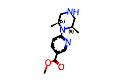 COC(=O)c1ccc(N2[C@H](C)CNC[C@@H]2C)nc1